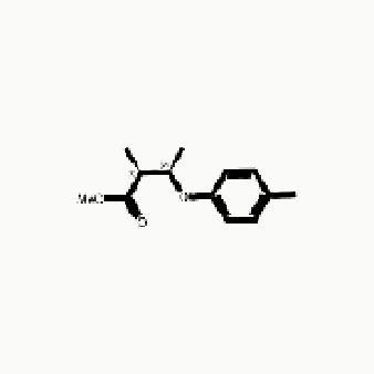 COC(=O)[C@@H](C)[C@@H](C)Oc1ccc(C)cc1